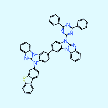 c1ccc(-c2nc(-c3ccccc3)nc(-n3c4ccc(-c5ccc6c(c5)n5c7ccccc7nc5n6-c5ccc6c(c5)sc5ccccc56)cc4n4c5ccccc5nc34)n2)cc1